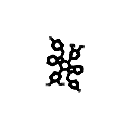 Oc1ccc(C2c3c(n(Cc4ccc(F)cc4)c4ccccc34)C(c3ccc(O)c(O)c3)c3c2n(Cc2ccc(F)cc2)c2ccccc32)cc1O